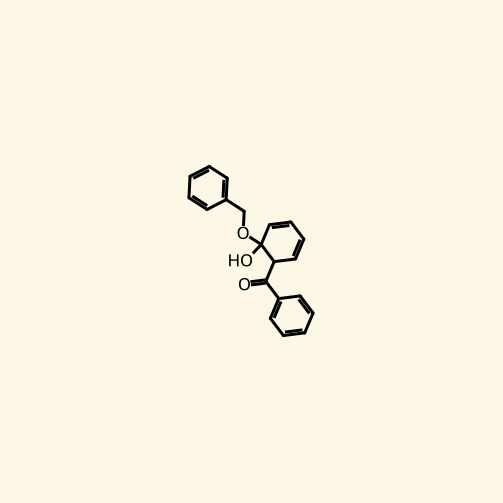 O=C(c1ccccc1)C1C=CC=CC1(O)OCc1ccccc1